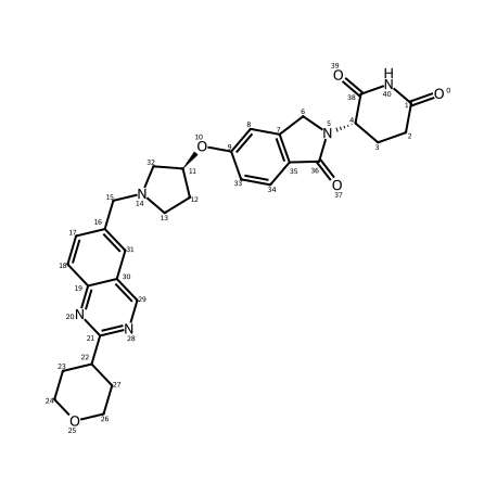 O=C1CC[C@H](N2Cc3cc(O[C@H]4CCN(Cc5ccc6nc(C7CCOCC7)ncc6c5)C4)ccc3C2=O)C(=O)N1